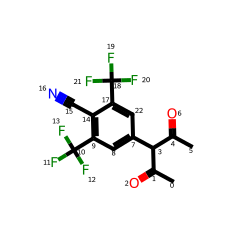 CC(=O)C(C(C)=O)c1cc(C(F)(F)F)c(C#N)c(C(F)(F)F)c1